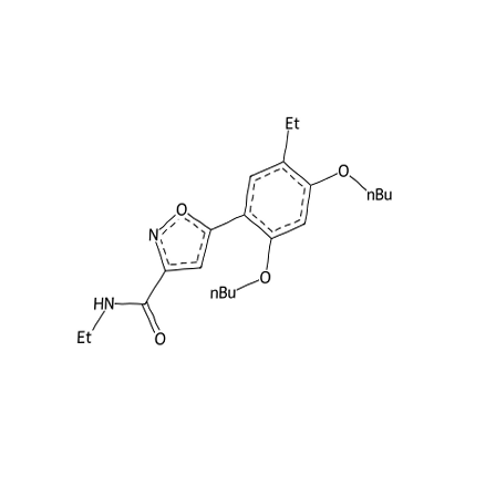 CCCCOc1cc(OCCCC)c(-c2cc(C(=O)NCC)no2)cc1CC